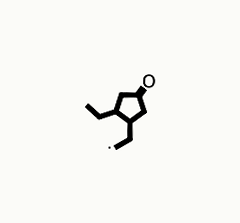 [CH2]CC1CC(=O)CC1CC